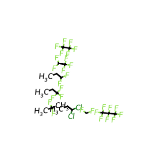 CC(C)(F)F.CCC(Cl)Cl.CCC(F)(F)F.CCC(F)F.FC(F)(F)C(F)(F)C(F)(F)F.FC(F)(F)C(F)(F)F.FC(F)C(F)(F)F.FCF